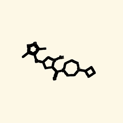 CC(=O)N1CC(Oc2c(C)noc2C)CC1C(=O)N1CCCN(C2CCC2)CC1